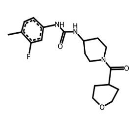 Cc1ccc(NC(=O)NC2CCN(C(=O)C3CCOCC3)CC2)cc1F